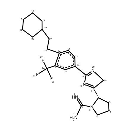 N=C(N)N1CCC[C@H]1C1=NC(c2ccc(CCC3CCCCC3)c(C(F)(F)F)c2)=NC1